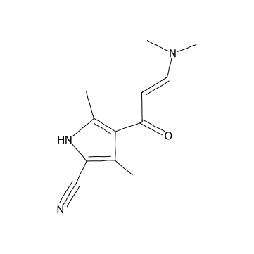 Cc1[nH]c(C#N)c(C)c1C(=O)C=CN(C)C